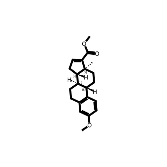 COC(=O)C1=CC[C@H]2[C@@H]3CCc4cc(OC)ccc4[C@H]3CC[C@]12C